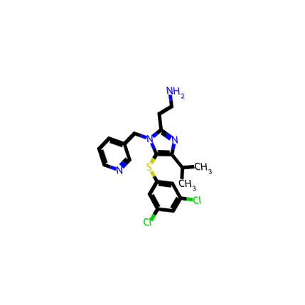 CC(C)c1nc(CCN)n(Cc2cccnc2)c1Sc1cc(Cl)cc(Cl)c1